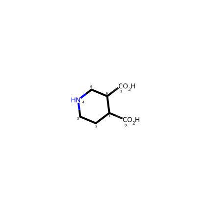 O=C(O)C1CCNCC1C(=O)O